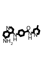 Cc1ccnc(NC(=O)c2ccc(Nc3ccnc4ccc(N)cc34)cc2)c1